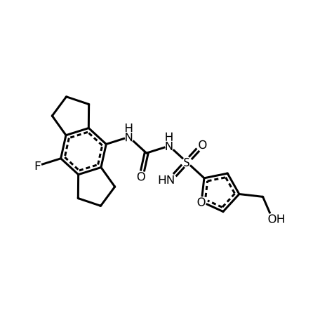 N=S(=O)(NC(=O)Nc1c2c(c(F)c3c1CCC3)CCC2)c1cc(CO)co1